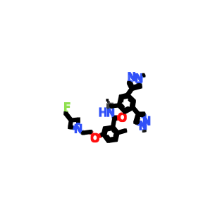 Cc1ccc(OCCN2CC(CF)C2)cc1C(=O)N[C@H](C)c1cc(-c2cnn(C)c2)cc(-c2cnn(C)c2)c1